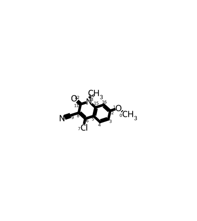 COc1ccc2c(Cl)c(C#N)c(=O)n(C)c2c1